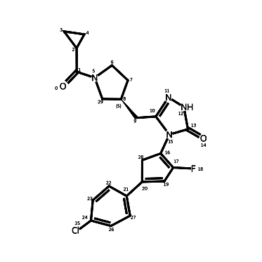 O=C(C1CC1)N1CC[C@@H](Cc2n[nH]c(=O)n2C2=C(F)C=C(c3ccc(Cl)cc3)C2)C1